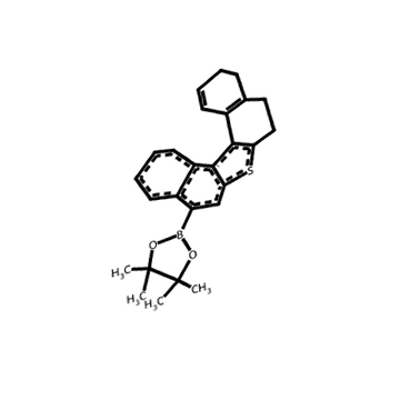 CC1(C)OB(c2cc3sc4c(c3c3ccccc23)C2=C(CCC=C2)CC4)OC1(C)C